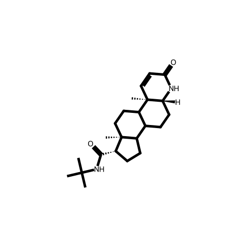 CC(C)(C)NC(=O)[C@H]1CCC2C3CC[C@H]4NC(=O)C=C[C@]4(C)C3CC[C@@]21C